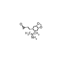 CN(C)N.O=c1cc1C=Cc1ccc2c(c1)OCO2